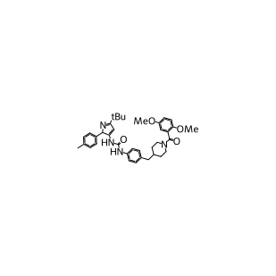 COc1ccc(OC)c(C(=O)N2CCC(Cc3ccc(NC(=O)NC4=CC(C(C)(C)C)=NC4c4ccc(C)cc4)cc3)CC2)c1